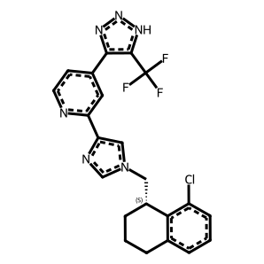 FC(F)(F)c1[nH]nnc1-c1ccnc(-c2cn(C[C@H]3CCCc4cccc(Cl)c43)cn2)c1